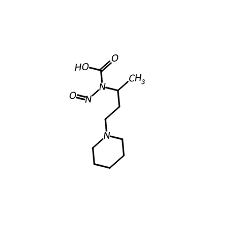 CC(CCN1CCCCC1)N(N=O)C(=O)O